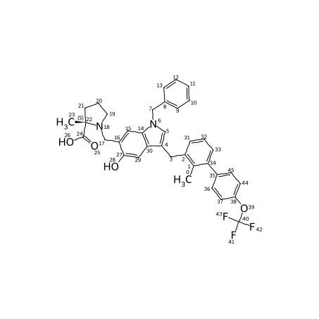 Cc1c(Cc2cn(Cc3ccccc3)c3cc(CN4CCC[C@@]4(C)C(=O)O)c(O)cc23)cccc1-c1ccc(OC(F)(F)F)cc1